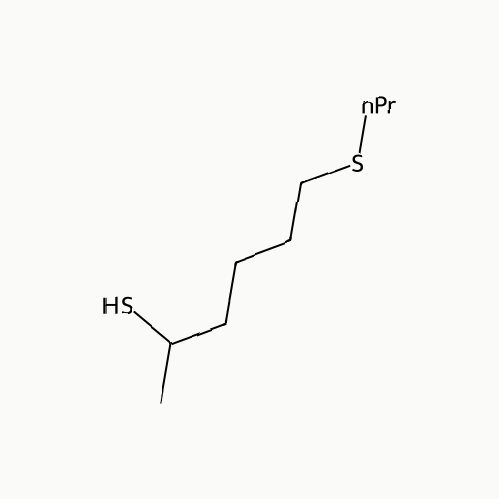 CCCSCCCCC(C)S